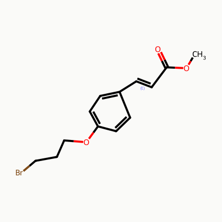 COC(=O)/C=C/c1ccc(OCCCBr)cc1